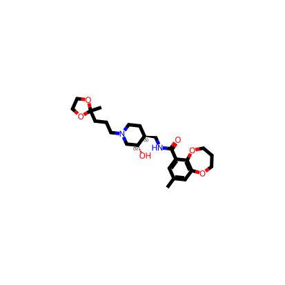 Cc1cc2c(c(C(=O)NC[C@@H]3CCN(CCCC4(C)OCCO4)C[C@H]3O)c1)OCCCO2